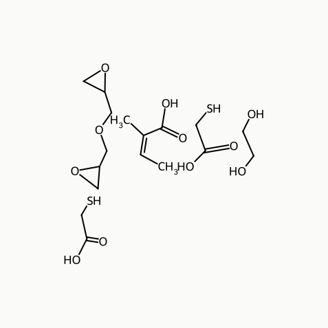 C(OCC1CO1)C1CO1.CC=C(C)C(=O)O.O=C(O)CS.O=C(O)CS.OCCO